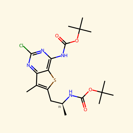 Cc1c(C[C@H](C)NC(=O)OC(C)(C)C)sc2c(NC(=O)OC(C)(C)C)nc(Cl)nc12